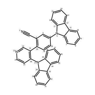 N#Cc1cc(-n2c3ccccc3c3ccccc32)ccc1-c1cnccc1-n1c2ccccc2c2ccccc21